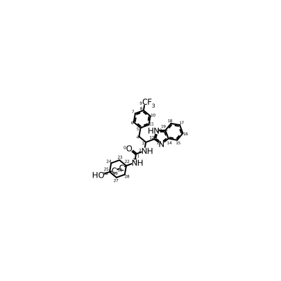 O=C(NC(Cc1ccc(C(F)(F)F)cc1)c1nc2ccccc2[nH]1)NC12CCC(O)(CC1)CC2